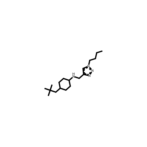 CCCCn1cc(CNC2CCC(CC(C)(C)C)CC2)nn1